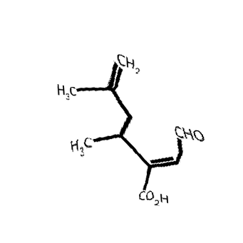 C=C(C)CC(C)C(=CC=O)C(=O)O